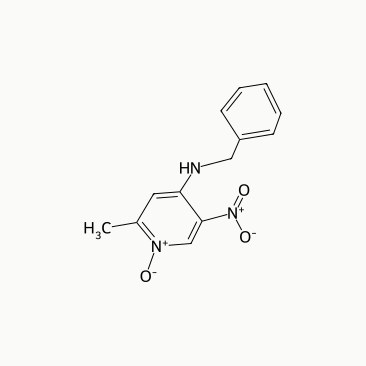 Cc1cc(NCc2ccccc2)c([N+](=O)[O-])c[n+]1[O-]